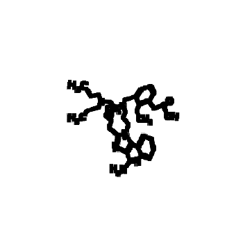 CCCCc1nc2c(N)nc3ccccc3c2n1CCCN(Cc1cccc(CC(=O)O)c1CC)C(=O)CN(CCC)CCC